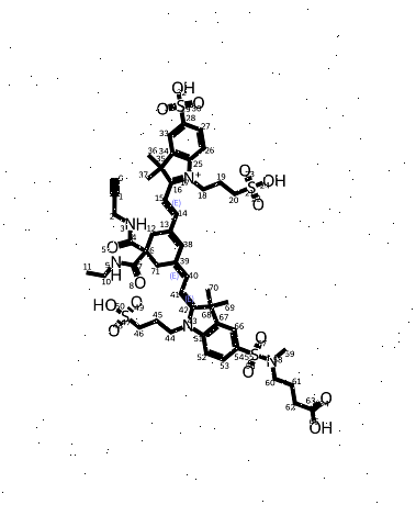 C#CCNC(=O)C1(C(=O)NCC)CC(/C=C/C2=[N+](CCCS(=O)(=O)O)c3ccc(S(=O)(=O)O)cc3C2(C)C)=CC(=C/C=C2/N(CCCS(=O)(=O)O)c3ccc(S(=O)(=O)N(C)CCCC(=O)O)cc3C2(C)C)/C1